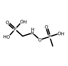 CP(=O)(O)ONCP(=O)(O)O